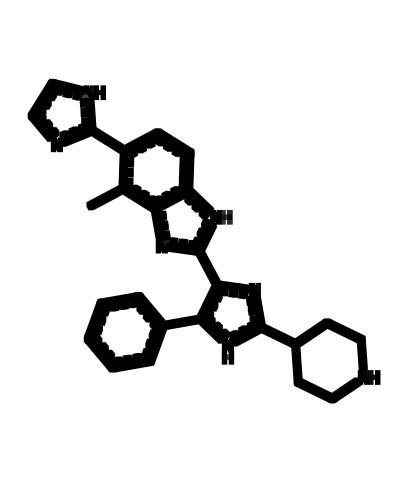 Cc1c(-c2ncc[nH]2)ccc2[nH]c(-c3nc(C4CCNCC4)[nH]c3-c3ccccc3)nc12